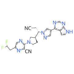 N#CC[C@@H]([C@H]1CCN(c2ncc(CC(F)F)nc2C#N)C1)n1cc(-c2ncnc3[nH]ccc23)cn1